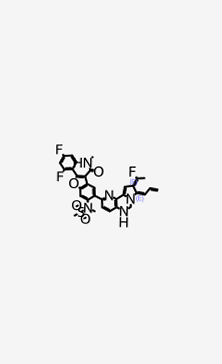 C=C/C=c1\c(=C(/C)F)cc2n1CNc1ccc(-c3cc4c(C(=O)NC)c(-c5ccc(F)cc5F)oc4cc3N(C)S(C)(=O)=O)nc1-2